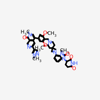 COc1cc(-c2cn(C)c(=O)c3cnc(-c4cnn(C)c4)cc23)cc(OC)c1CN1CCC2(CC1)CN(c1cccc3c1n(C)c(=O)n3C1CCC(=O)NC1=O)C2